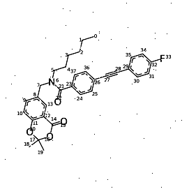 CCCCCCN(Cc1ccc2c(c1)C(=O)OC(C)(C)O2)C(=O)c1ccc(C#Cc2ccc(F)cc2)cc1